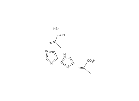 Br.C=C(C)C(=O)O.C=C(C)C(=O)O.c1c[nH]cn1.c1c[nH]cn1